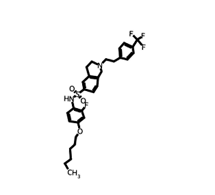 CCCCCCOc1ccc(NS(=O)(=O)c2ccc3c(c2)CCN(CCc2ccc(C(F)(F)F)cc2)C3)c(F)c1